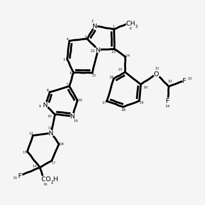 Cc1nc2ccc(-c3cnc(N4CCC(F)(C(=O)O)CC4)nc3)cn2c1Cc1ccccc1OC(F)F